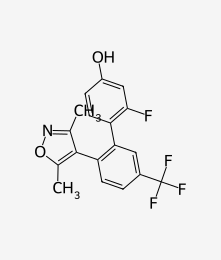 Cc1noc(C)c1-c1ccc(C(F)(F)F)cc1-c1ccc(O)cc1F